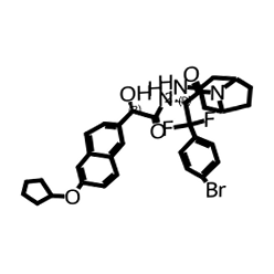 NC1CC2CCC(C1)N2C(=O)[C@@H](NC(=O)[C@H](O)c1ccc2cc(OC3CCCC3)ccc2c1)C(F)(F)c1ccc(Br)cc1